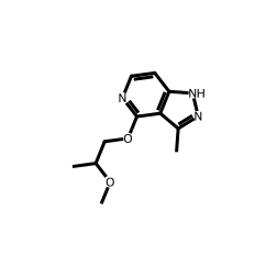 COC(C)COc1nccc2[nH]nc(C)c12